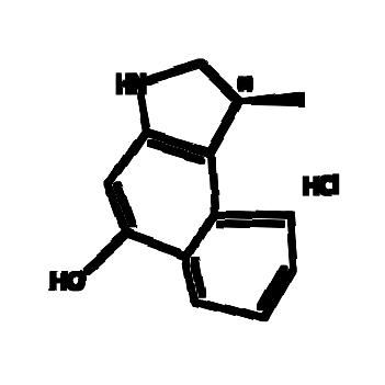 C[C@@H]1CNc2cc(O)c3ccccc3c21.Cl